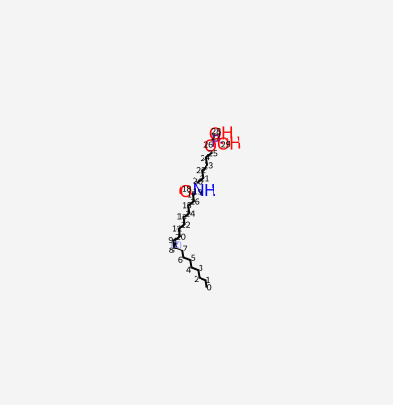 CCCCCCCC/C=C\CCCCCCCC(=O)NCCCCCCOP(O)O